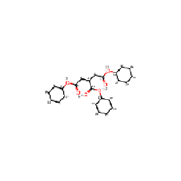 O=C(CC(CC(=O)OC1CCCCC1)C(=O)OC1CCCCC1)OC1CCCCC1